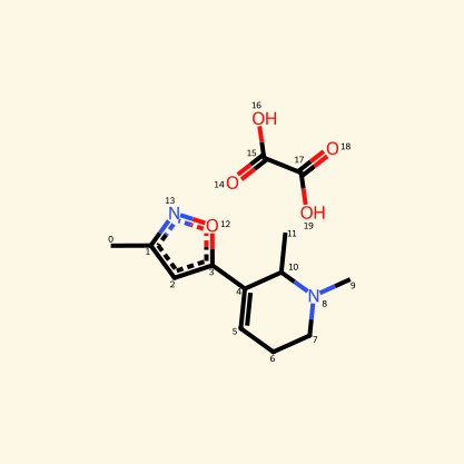 Cc1cc(C2=CCCN(C)C2C)on1.O=C(O)C(=O)O